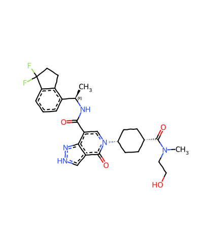 C[C@@H](NC(=O)c1cn([C@H]2CC[C@@H](C(=O)N(C)CCO)CC2)c(=O)c2c[nH]nc12)c1cccc2c1CCC2(F)F